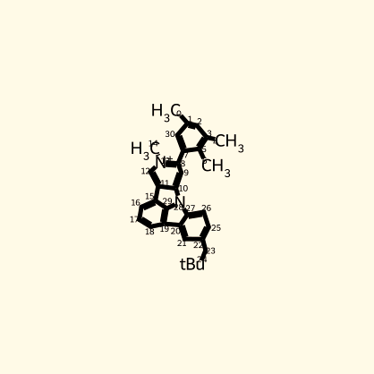 Cc1cc(C)c(C)c(-c2cc3c(c[n+]2C)c2cccc4c5cc(CC(C)(C)C)ccc5n3c42)c1